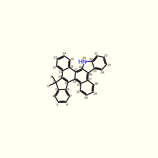 CC1(C)c2ccccc2-c2c1c1ccccc1c1c3[nH]c4ccccc4c3c3ccccc3c21